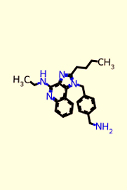 CCCCc1nc2c(NCC)nc3ccccc3c2n1Cc1ccc(CN)cc1